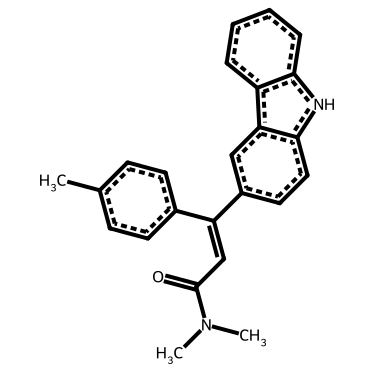 Cc1ccc(/C(=C\C(=O)N(C)C)c2ccc3[nH]c4ccccc4c3c2)cc1